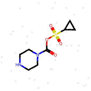 O=C(OS(=O)(=O)C1CC1)N1CCNCC1